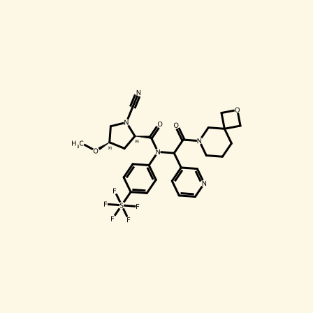 CO[C@@H]1C[C@H](C(=O)N(c2ccc(S(F)(F)(F)(F)F)cc2)C(C(=O)N2CCCC3(COC3)C2)c2cccnc2)N(C#N)C1